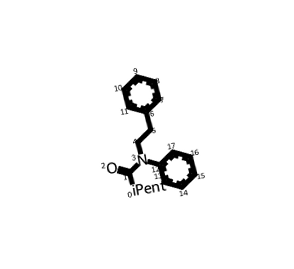 CCCC(C)C(=O)N(CCc1ccccc1)c1ccccc1